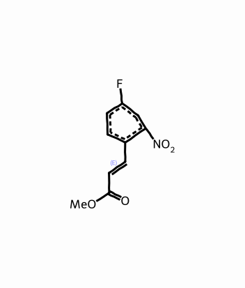 COC(=O)/C=C/c1ccc(F)cc1[N+](=O)[O-]